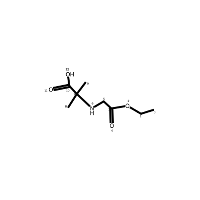 CCOC(=O)CNC(C)(C)C(=O)O